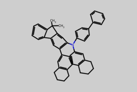 CC1(C)c2ccccc2-c2cc(-c3ccc4c(c3)CCCC4)c(N(c3ccc(-c4ccccc4)cc3)c3ccc4c(c3)CCCC4)cc21